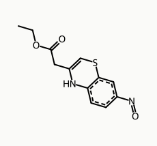 CCOC(=O)CC1=CSc2cc(N=O)ccc2N1